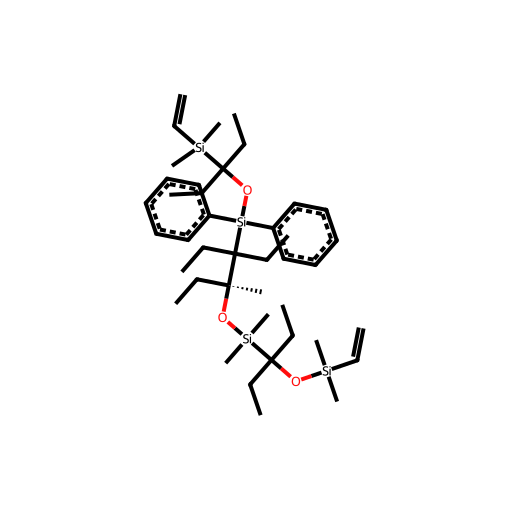 C=C[Si](C)(C)OC(CC)(CC)[Si](C)(C)O[C@@](C)(CC)C(CC)(CC)[Si](OC(CC)(CC)[Si](C)(C)C=C)(c1ccccc1)c1ccccc1